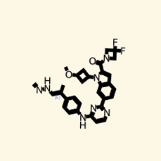 C=NN/C=C(\C)c1ccc(Nc2ccnc(-c3ccc4cc(C(=O)N5CC(F)(F)C5)n(C5CC(OC)C5)c4c3)n2)cc1